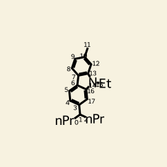 CCCC(CCC)c1ccc2c3ccc(C)cc3n(CC)c2c1